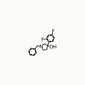 OC1(c2ccc(F)cc2F)CCN(Cc2ccccc2)C1